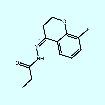 CCC(=O)N/N=C1/CCOc2c(F)cccc21